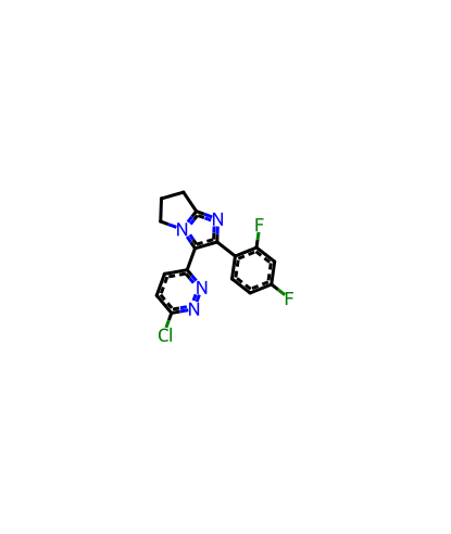 Fc1ccc(-c2nc3n(c2-c2ccc(Cl)nn2)CCC3)c(F)c1